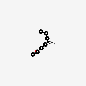 C=C(c1ccc(-c2ccc(-c3ccc4c(c3)oc3ccccc34)cc2)cc1)c1ccc(-c2cccc(-c3ccccc3)c2)cc1